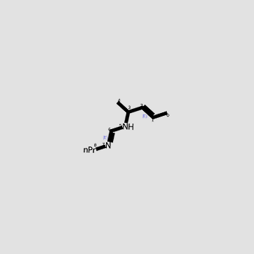 C/C=C/C(C)N/C=N/CCC